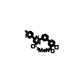 CNC(=O)c1cc(-c2cccc(-c3nc(-c4ccc(C)nc4)cc(C(F)(F)F)n3)c2)ccc1Cl